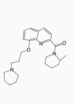 CC1CCCCN1C(=O)c1ccc2cccc(OCCCN3CCCCC3)c2n1